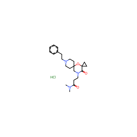 CN(C)C(=O)CCN1CC2(CCN(CCc3ccccc3)CC2)OC2(CC2)C1=O.Cl